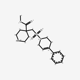 COC(=O)C1(CS(=O)(=O)N2CC=C(c3ccccc3)CC2)CCNCC1